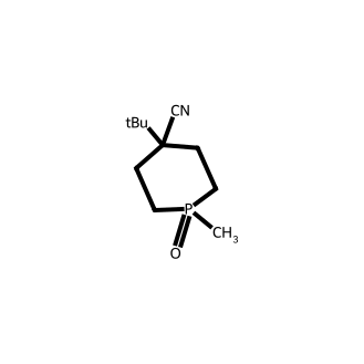 CC(C)(C)C1(C#N)CCP(C)(=O)CC1